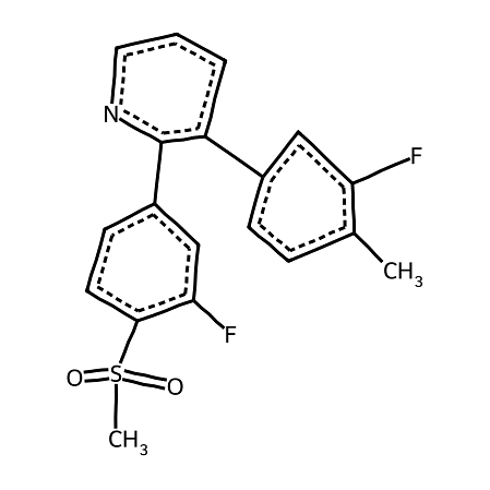 Cc1ccc(-c2cccnc2-c2ccc(S(C)(=O)=O)c(F)c2)cc1F